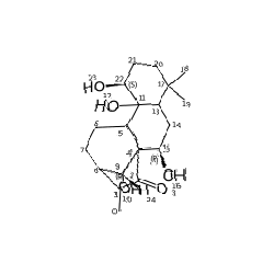 CC1C(=O)C23C(CCC1[C@H]2O)C1(O)C(C[C@H]3O)C(C)(C)CC[C@@H]1O